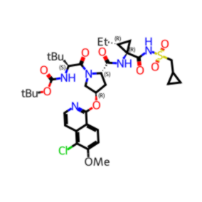 CC[C@@H]1C[C@]1(NC(=O)[C@@H]1C[C@@H](Oc2nccc3c(Cl)c(OC)ccc23)CN1C(=O)[C@@H](NC(=O)OC(C)(C)C)C(C)(C)C)C(=O)NS(=O)(=O)CC1CC1